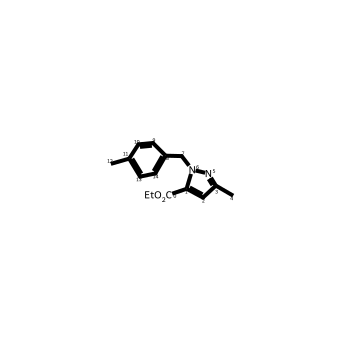 CCOC(=O)c1cc(C)nn1Cc1ccc(C)cc1